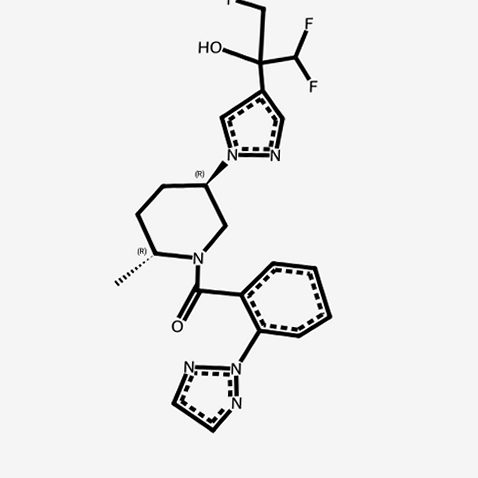 C[C@@H]1CC[C@@H](n2cc(C(O)(CF)C(F)F)cn2)CN1C(=O)c1ccccc1-n1nccn1